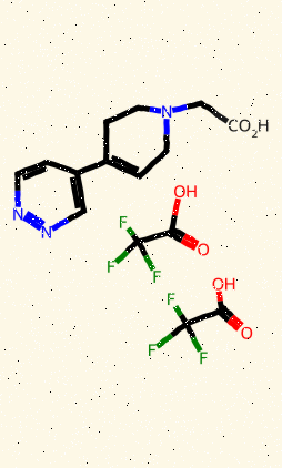 O=C(O)C(F)(F)F.O=C(O)C(F)(F)F.O=C(O)CN1CC=C(c2ccnnc2)CC1